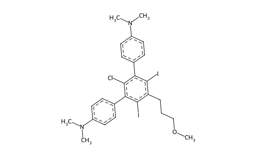 COCCCc1c(I)c(-c2ccc(N(C)C)cc2)c(Cl)c(-c2ccc(N(C)C)cc2)c1I